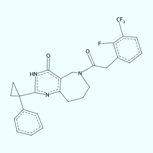 O=C(Cc1cccc(C(F)(F)F)c1F)N1CCCc2nc(C3(c4ccccc4)CC3)[nH]c(=O)c2C1